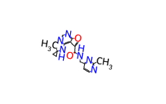 Cc1nccc(CNC(=O)c2coc3ncnc(NC4(C)CC4)c23)n1